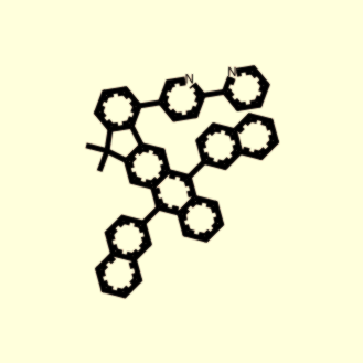 CC1(C)c2cc3c(-c4ccc5ccccc5c4)c4ccccc4c(-c4ccc5ccccc5c4)c3cc2-c2c(-c3ccc(-c4ccccn4)nc3)cccc21